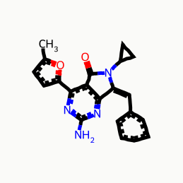 Cc1ccc(-c2nc(N)nc3c2C(=O)N(C2CC2)/C3=C/c2ccccc2)o1